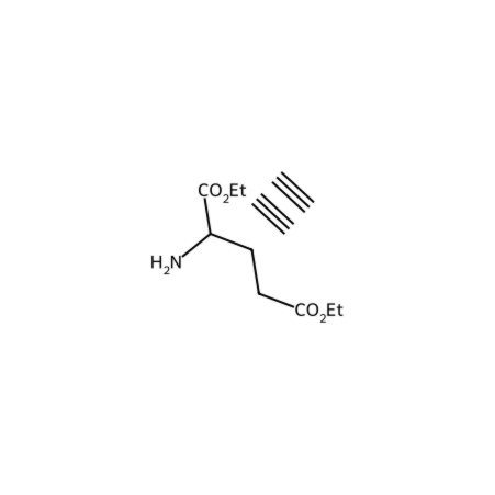 C#C.C#C.CCOC(=O)CCC(N)C(=O)OCC